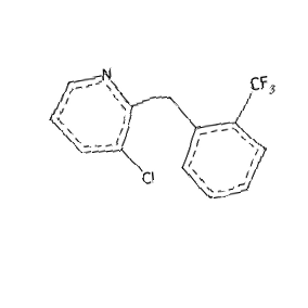 FC(F)(F)c1ccccc1Cc1ncccc1Cl